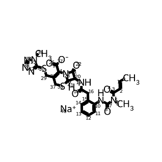 C/C=C/C(=O)N(C)C(=O)Nc1ccccc1CC(=O)NC1C(=O)N2C(C(=O)[O-])=C(CSc3nnnn3C)CS[C@H]12.[Na+]